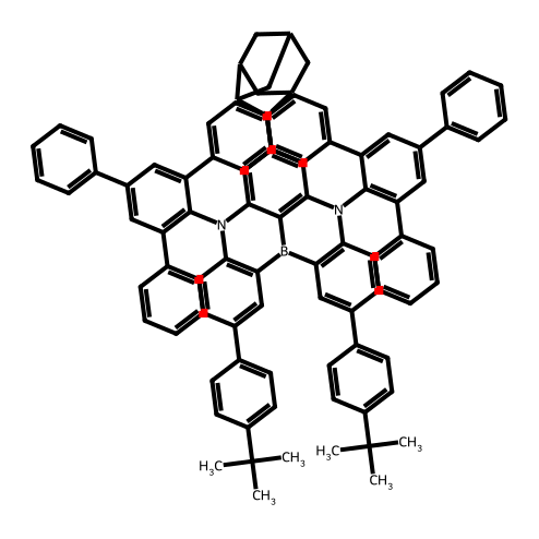 CC(C)(C)c1ccc(-c2ccc3c(c2)B2c4cc(-c5ccc(C(C)(C)C)cc5)ccc4N(c4c(-c5ccccc5)cc(-c5ccccc5)cc4-c4ccccc4)c4cc(N5C6CC7CC(C6)C5C7)cc(c42)N3c2c(-c3ccccc3)cc(-c3ccccc3)cc2-c2ccccc2)cc1